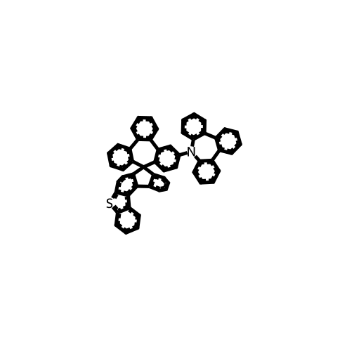 c1ccc2c(c1)-c1ccccc1N(c1ccc3c(c1)-c1ccccc1-c1ccccc1C31c3ccccc3-c3c1ccc1sc4ccccc4c31)c1ccccc1-2